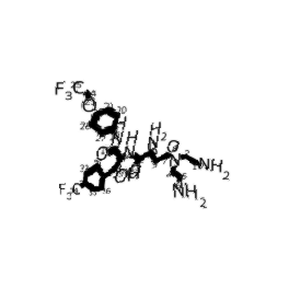 NCCN(CCN)C(=O)C[C@H](N)C(=O)N[C@H](C(=O)Nc1ccc(OCC(F)(F)F)cc1)[C@H](O)c1ccc(C(F)(F)F)cc1